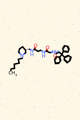 CCCCCCCN1CCC[C@H](CNC(=O)CCNC(=O)CNC(=O)CC(c2ccccc2)(c2ccccc2)c2ccccc2)C1